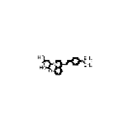 CN(C)c1ccc(/C=C/c2cc[n+](C(CC(=O)O)C(=O)O)c3ccccc23)cc1